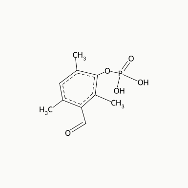 Cc1cc(C)c(OP(=O)(O)O)c(C)c1C=O